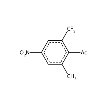 CC(=O)c1c(C)cc([N+](=O)[O-])cc1C(F)(F)F